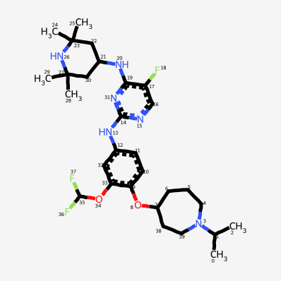 CC(C)N1CCCC(Oc2ccc(Nc3ncc(F)c(NC4CC(C)(C)NC(C)(C)C4)n3)cc2OC(F)F)CC1